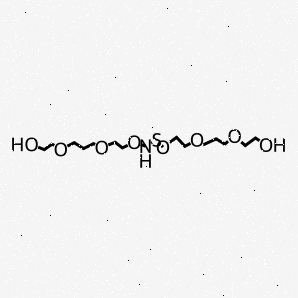 OCCOCCCOCCONSOCCOCCCOCCO